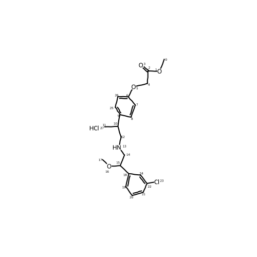 COC(=O)COc1ccc(C(C)CNCC(OC)c2cccc(Cl)c2)cc1.Cl